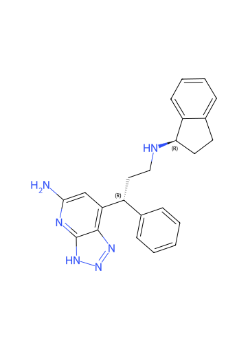 Nc1cc([C@H](CCN[C@@H]2CCc3ccccc32)c2ccccc2)c2nn[nH]c2n1